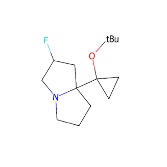 CC(C)(C)OC1(C23CCCN2CC(F)C3)CC1